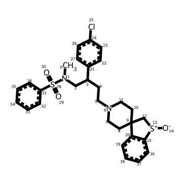 CN(CC(CCN1CCC2(CC1)C[S+]([O-])c1ccccc12)c1ccc(Cl)cc1)S(=O)(=O)c1ccccc1